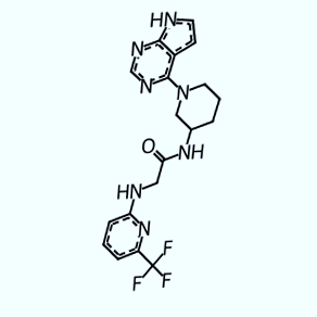 O=C(CNc1cccc(C(F)(F)F)n1)NC1CCCN(c2ncnc3[nH]ccc23)C1